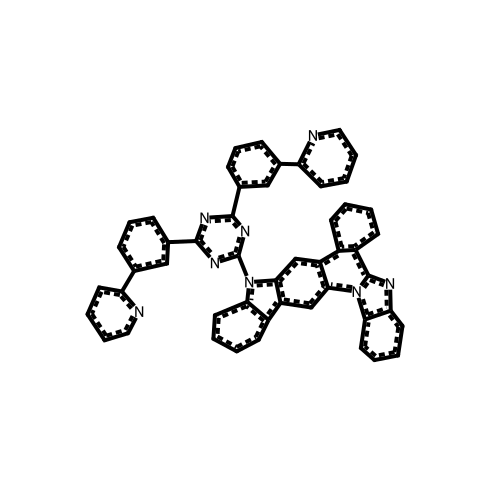 c1ccc(-c2cccc(-c3nc(-c4cccc(-c5ccccn5)c4)nc(-n4c5ccccc5c5cc6c(cc54)c4ccccc4c4nc5ccccc5n64)n3)c2)nc1